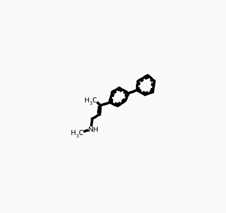 CNCC=C(C)c1ccc(-c2ccccc2)cc1